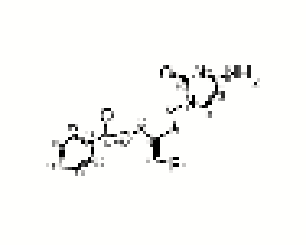 Nc1ccn(CC/C(=C\F)COC(=O)c2ccccc2)c(=O)n1